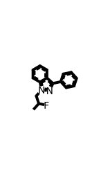 CC(F)Cn1nc(-c2ccccc2)c2ccccc21